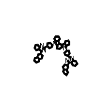 c1ccc2cc(-c3nc(-c4ccc(-n5c6ccccc6c6c7c8ccccc8n(-c8ccc(-c9nc(-c%10ccc%11ccccc%11c%10)c%10ccccc%10n9)cc8)c7ccc65)cc4)nc4ccccc34)ccc2c1